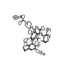 COc1cc2ccoc2c(-c2nc3c(cc2Cl)c(N2CCN(C(=O)OC(C)(C)C)C[C@@H]2C)nc(=O)n3-c2c(C)ccnc2C(C)C)c1F